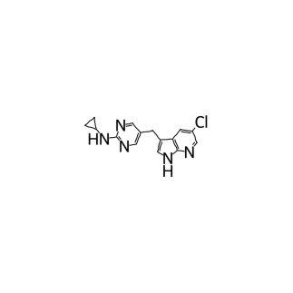 Clc1cnc2[nH]cc(Cc3cnc(NC4CC4)nc3)c2c1